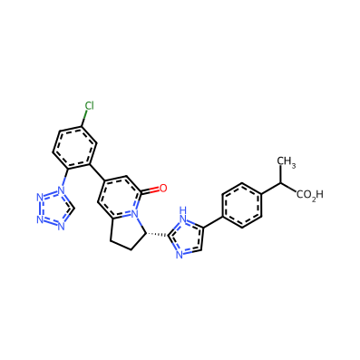 CC(C(=O)O)c1ccc(-c2cnc([C@@H]3CCc4cc(-c5cc(Cl)ccc5-n5cnnn5)cc(=O)n43)[nH]2)cc1